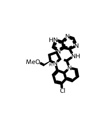 COC[C@H]1CCCN1C1=CC=C(Cl)C2=CC=CN(C(C)Nc3ncnc4[nH]cnc34)C21